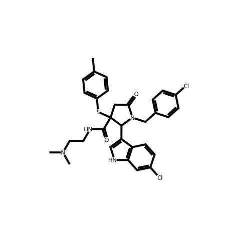 Cc1ccc(SC2(C(=O)NCCN(C)C)CC(=O)N(Cc3ccc(Cl)cc3)C2c2c[nH]c3cc(Cl)ccc23)cc1